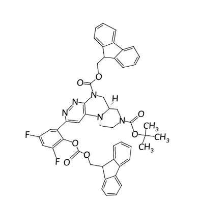 CC(C)(C)OC(=O)N1CCN2c3cc(-c4cc(F)cc(F)c4OC(=O)OCC4c5ccccc5-c5ccccc54)nnc3N(C(=O)OCC3c4ccccc4-c4ccccc43)C[C@H]2C1